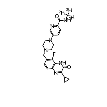 [2H]C([2H])([2H])NC(=O)c1ccc(N2CCN(Cc3ccc4nc(C5CC5)c(=O)[nH]c4c3F)CC2)cn1